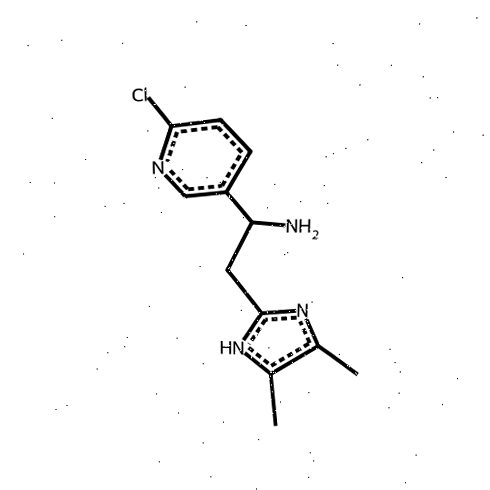 Cc1nc(CC(N)c2ccc(Cl)nc2)[nH]c1C